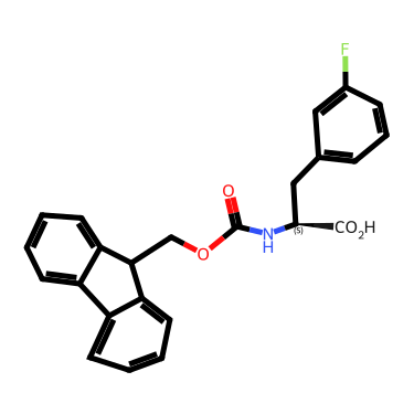 O=C(N[C@@H](Cc1cccc(F)c1)C(=O)O)OCC1c2ccccc2-c2ccccc21